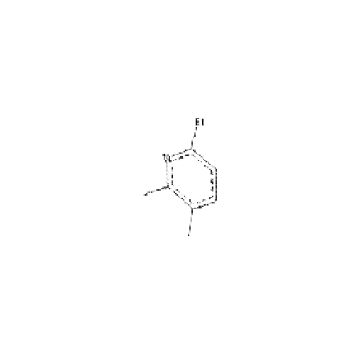 [CH2]Cc1ccc(C)c(C)n1